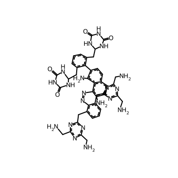 NCc1nc(CN)nc(Cc2cccc(Cc3nc(CN)nc(CN)n3)c2/N=N\c2c(N)ccc3ccc(-c4c(CC5NC(=O)NC(=O)N5)cccc4CC4NC(=O)NC(=O)N4)c(N)c23)n1